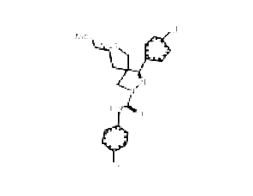 CSCCCC1(CSC)CN(C(=O)Nc2ccc(Br)cc2)N=C1c1ccc(Cl)cc1